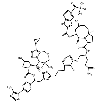 CC(=O)N1CC[C@H]2CC[C@@H](C(=O)N[C@@H](CCC(N)=O)COc3cccc(CCCc4cn(C[C@H](NC(=O)[C@@H]5C[C@@H](O)CN5C(=O)[C@H]5n6nnc(C7CC7)c6COCC5(C)C)c5ccc(-c6scnc6C)cc5)nn4)c3Cl)N2C(=O)[C@@H](NC(=O)c2cc3cc(C(=O)P(=O)(O)O)ccc3[nH]2)C1